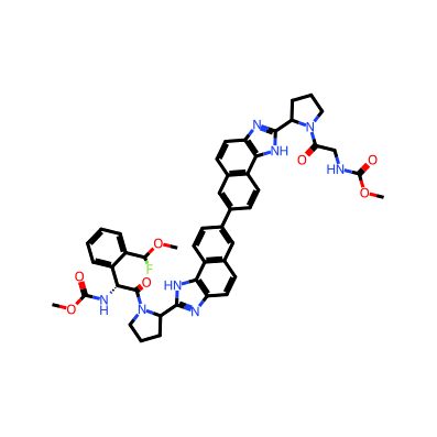 COC(=O)NCC(=O)N1CCCC1c1nc2ccc3cc(-c4ccc5c(ccc6nc(C7CCCN7C(=O)[C@H](NC(=O)OC)c7ccccc7C(F)OC)[nH]c65)c4)ccc3c2[nH]1